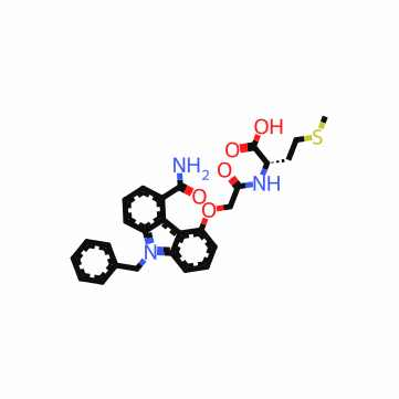 CSCC[C@H](NC(=O)COc1cccc2c1c1c(C(N)=O)cccc1n2Cc1ccccc1)C(=O)O